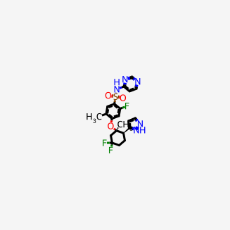 Cc1cc(S(=O)(=O)Nc2ccncn2)c(F)cc1O[C@]1(C)CC(F)(F)CC[C@@H]1c1ccn[nH]1